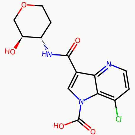 O=C(N[C@H]1CCOC[C@@H]1O)c1cn(C(=O)O)c2c(Cl)ccnc12